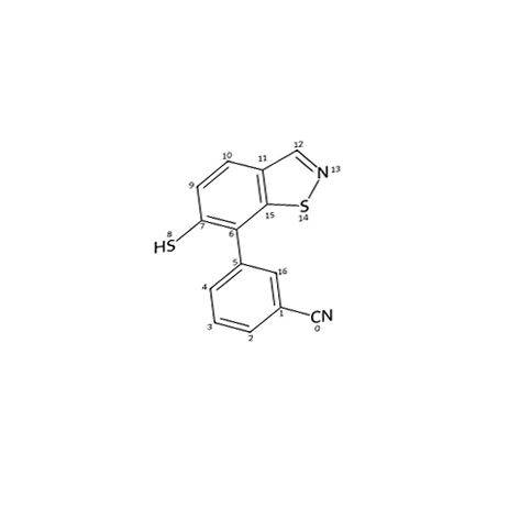 N#Cc1cccc(-c2c(S)ccc3cnsc23)c1